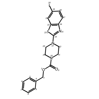 O=C(OCc1ccccc1)N1CCN(c2nc3ccc(I)cc3s2)CC1